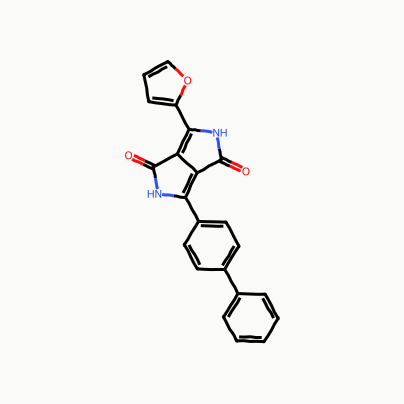 O=C1NC(c2ccco2)=C2C(=O)NC(c3ccc(-c4ccccc4)cc3)=C12